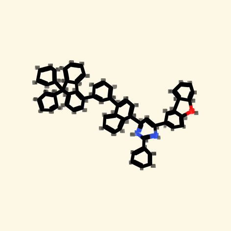 c1ccc(-c2nc(-c3ccc4oc5ccccc5c4c3)cc(-c3ccc(-c4cccc(-c5cccc6c5-c5ccccc5C6(c5ccccc5)c5ccccc5)c4)c4ccccc34)n2)cc1